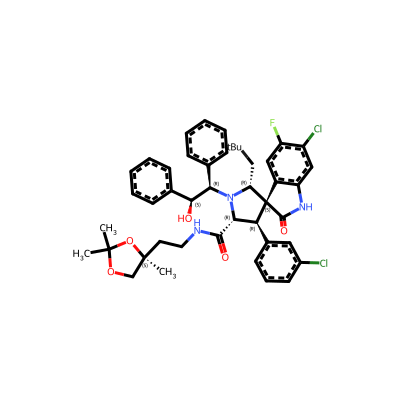 CC(C)(C)C[C@H]1N([C@H](c2ccccc2)[C@@H](O)c2ccccc2)[C@@H](C(=O)NCC[C@@]2(C)COC(C)(C)O2)[C@H](c2cccc(Cl)c2)[C@@]12C(=O)Nc1cc(Cl)c(F)cc12